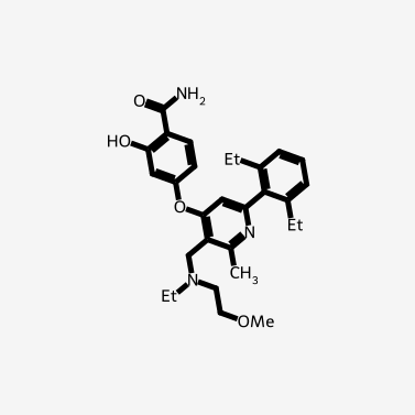 CCc1cccc(CC)c1-c1cc(Oc2ccc(C(N)=O)c(O)c2)c(CN(CC)CCOC)c(C)n1